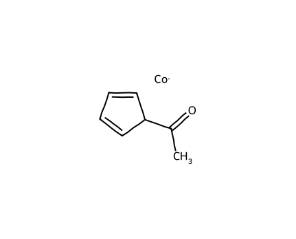 CC(=O)C1C=CC=C1.[Co]